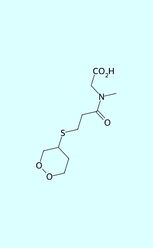 CN(CC(=O)O)C(=O)CCSC1CCOOC1